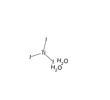 O.O.[I][Ti]([I])[I]